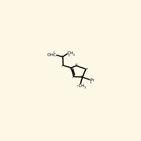 CC(C=O)CC1=CC(C)(C(C)C)CC1